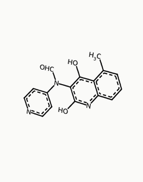 Cc1cccc2nc(O)c(N(C=O)c3ccncc3)c(O)c12